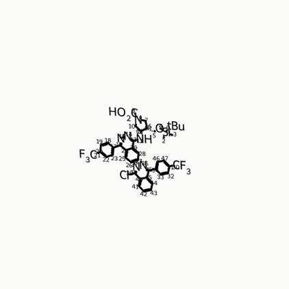 CC(C)(C)[Si](C)(C)OC[C@H]1CN(C(=O)O)C[C@H]1Nc1nnc(-c2ccc(C(F)(F)F)cc2)c2ccccc12.FC(F)(F)c1ccc(-c2nnc(Cl)c3ccccc23)cc1